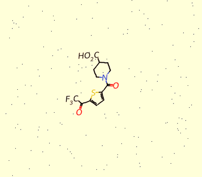 O=C(O)C1CCN(C(=O)c2ccc(C(=O)C(F)(F)F)s2)CC1